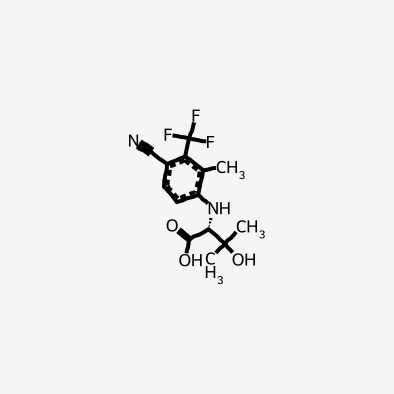 Cc1c(N[C@@H](C(=O)O)C(C)(C)O)ccc(C#N)c1C(F)(F)F